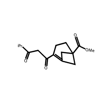 COC(=O)C12CCC(C(=O)CC(=O)C(C)C)=C(C1)C2